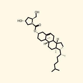 CC(C)CCC[C@@H](C)[C@H]1CC[C@H]2C3CC=C4C[C@@H](OC(=O)N5C[C@H](O)C[C@H]5CO)CC[C@]4(C)[C@H]3CC[C@]12C